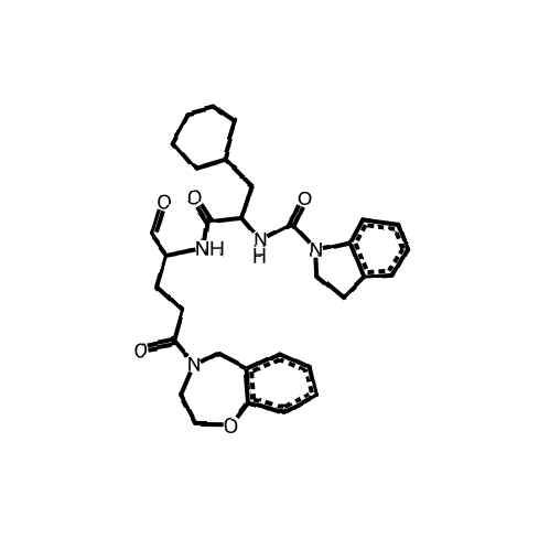 O=CC(CCC(=O)N1CCOc2ccccc2C1)NC(=O)C(CC1CCCCC1)NC(=O)N1CCc2ccccc21